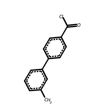 Cc1cccc(-c2ccc(C(=O)Cl)cc2)c1